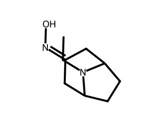 CCN1C2CCC1CC(=NO)C2